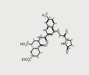 CCOC(=O)N1CCN(C(=O)C(CCC(=O)O)NC(=O)c2cc(OCC(=O)N3CCC(=O)N3)c3ccc(C)cc3n2)CC1